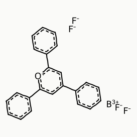 [B+3].[F-].[F-].[F-].[F-].c1ccc(-c2cc(-c3ccccc3)[o+]c(-c3ccccc3)c2)cc1